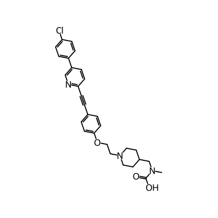 CN(CC1CCN(CCOc2ccc(C#Cc3ccc(-c4ccc(Cl)cc4)cn3)cc2)CC1)C(=O)O